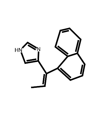 C/C=C(\c1c[nH]cn1)c1cccc2ccccc12